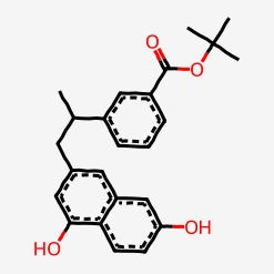 CC(Cc1cc(O)c2ccc(O)cc2c1)c1cccc(C(=O)OC(C)(C)C)c1